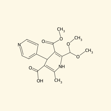 COC(=O)C1=C(C(OC)OC)NC(C)=C(C(=O)O)C1c1ccncc1